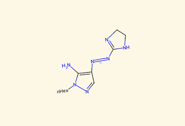 CCCCCCn1ncc(/N=N/C2=NCCN2)c1N